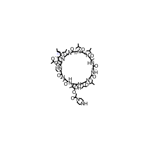 C/C=C/C[C@@H](C)[C@@H](OC(C)=O)[C@H]1C(=O)N[C@@H](CC)C(=O)N(C)[C@H](C)C(=O)N[C@@H]([C@H](C)COCC(=O)N2CCNCC2)C(=O)N[C@@H](C(C)C)C(=O)N(C)[C@@H](CC(C)C)C(=O)N[C@@H](C)C(=O)N[C@H](C)C(=O)N(C)[C@@H](CC(C)C)C(=O)N(C)[C@@H](CC(C)C)C(=O)N(C)[C@@H](C(C)C)C(=O)N1C